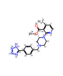 Cc1ccnc(N2CCN(Cc3ccc(-c4nnn[nH]4)cc3)CC2)c1C(=O)OC(C)C